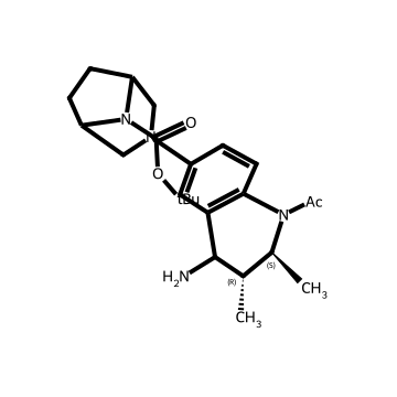 CC(=O)N1c2ccc(N3CC4CCC(C3)N4C(=O)OC(C)(C)C)cc2C(N)[C@@H](C)[C@@H]1C